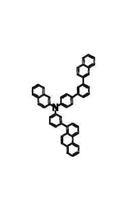 c1cc(-c2ccc(N(c3cccc(-c4cccc5c4ccc4ccccc45)c3)c3ccc4ccccc4c3)cc2)cc(-c2ccc3ccccc3c2)c1